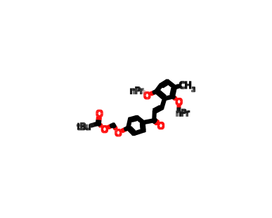 CCCOc1ccc(C)c(OCCC)c1C=CC(=O)c1ccc(OCOC(=O)C(C)(C)C)cc1